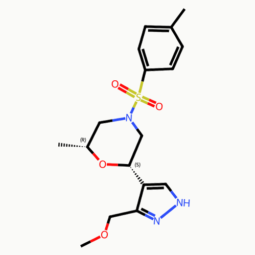 COCc1n[nH]cc1[C@H]1CN(S(=O)(=O)c2ccc(C)cc2)C[C@@H](C)O1